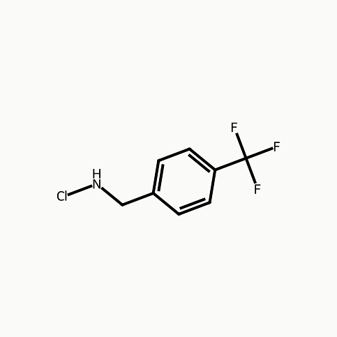 FC(F)(F)c1ccc(CNCl)cc1